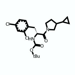 CC(C)(C)OC(=O)N[C@H](Cc1ccc(Cl)cc1Cl)C(=O)N1CCC(C2CC2)C1